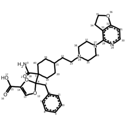 NC(=O)C1(C2(Cc3ccccc3)OC=C(C(=O)O)O2)CCC(CCN2CCN(c3nccc4c3CCO4)CC2)CC1